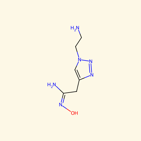 NCCn1cc(C/C(N)=N\O)nn1